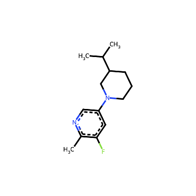 Cc1ncc(N2CCCC(C(C)C)C2)cc1F